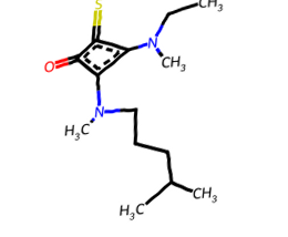 CCN(C)c1c(N(C)CCCC(C)C)c(=O)c1=S